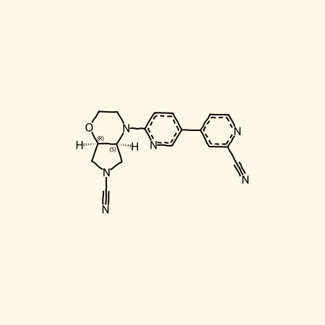 N#Cc1cc(-c2ccc(N3CCO[C@@H]4CN(C#N)C[C@@H]43)nc2)ccn1